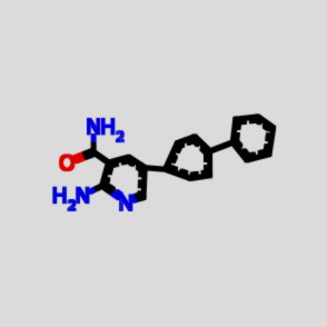 NC(=O)c1cc(-c2ccc(-c3ccccc3)cc2)cnc1N